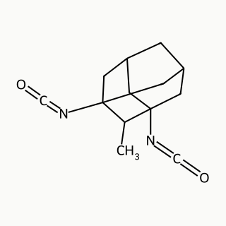 CC1C2(N=C=O)CC3CC(C2)CC1(N=C=O)C3